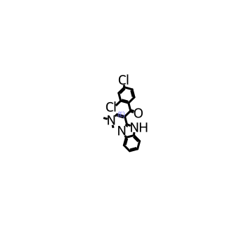 CN(C)/C=C(/C(=O)c1ccc(Cl)cc1Cl)c1nc2ccccc2[nH]1